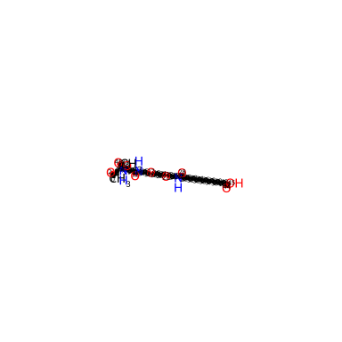 CC(=O)CC[C@H](NC(=O)CCC(=O)NCCCOCCCCOCCCNC(=O)CCCCCCCCCCCCCCC(=O)O)C(C)=O